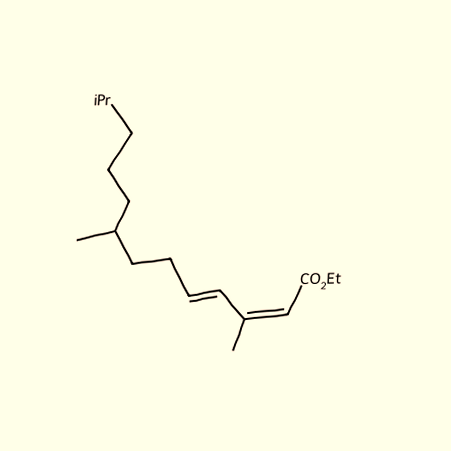 CCOC(=O)C=C(C)C=CCCC(C)CCCC(C)C